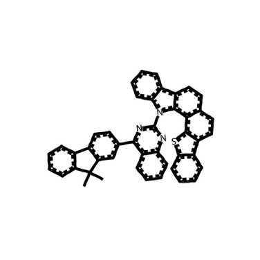 CC1(C)c2ccccc2-c2ccc(-c3nc(-n4c5ccccc5c5ccc6ccc7c8ccccc8sc7c6c54)nc4ccccc34)cc21